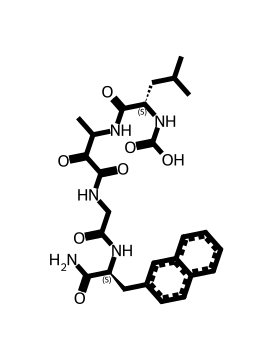 CC(C)C[C@H](NC(=O)O)C(=O)NC(C)C(=O)C(=O)NCC(=O)N[C@@H](Cc1ccc2ccccc2c1)C(N)=O